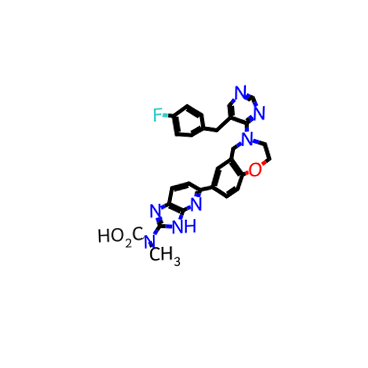 CN(C(=O)O)c1nc2ccc(-c3ccc4c(c3)CN(c3ncncc3Cc3ccc(F)cc3)CCO4)nc2[nH]1